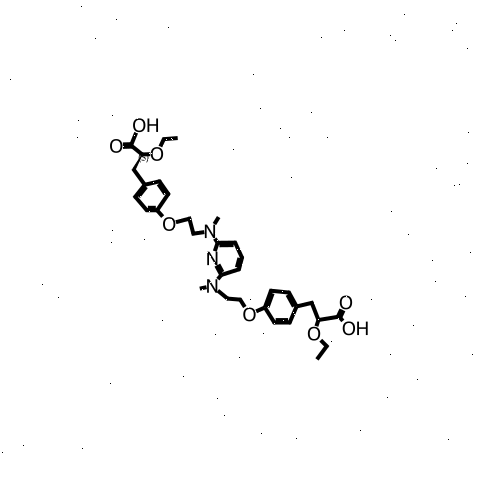 CCOC(Cc1ccc(OCCN(C)c2cccc(N(C)CCOc3ccc(C[C@H](OCC)C(=O)O)cc3)n2)cc1)C(=O)O